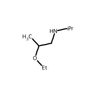 CCOC(C)CNC(C)C